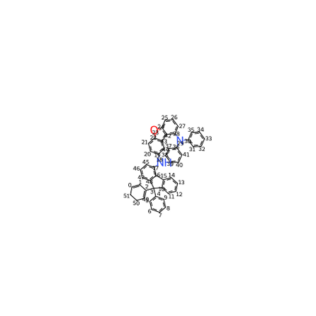 C1=CC(C2(c3ccccc3)c3ccccc3-c3c(Nc4ccc5oc6cccc(N(c7ccccc7)c7ccccc7)c6c5c4)cccc32)=CCC1